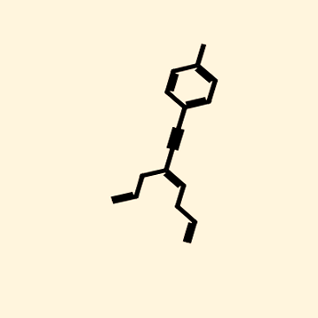 C=CCC=C(C#Cc1ccc(C)cc1)CC=C